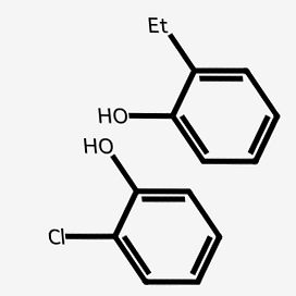 CCc1ccccc1O.Oc1ccccc1Cl